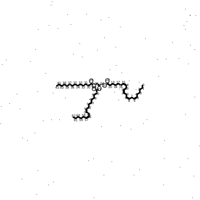 CCCCC/C=C\C/C=C\C/C=C\C/C=C\CCCCCC(=O)OC[C@@H](COC(=O)CCCCCCCCCCCCC)OC(=O)CCCCCCC/C=C\C/C=C\CCCCC